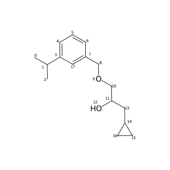 CC(C)c1cccc(COCC(O)CC2CC2)c1